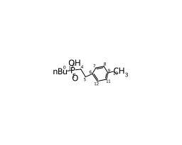 CCCCP(=O)(O)CCc1ccc(C)cc1